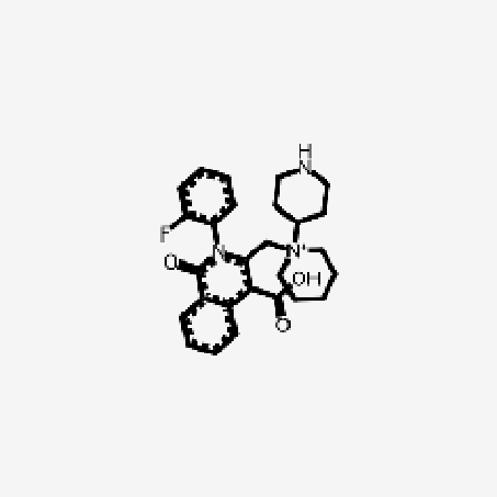 O=C(O)c1c(C[N+]2(C3CCNCC3)CCCCC2)n(-c2ccccc2F)c(=O)c2ccccc12